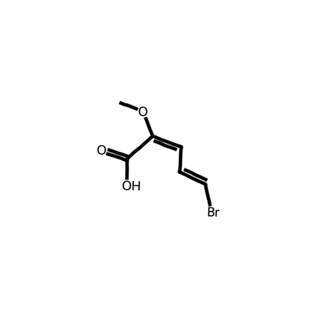 COC(=CC=CBr)C(=O)O